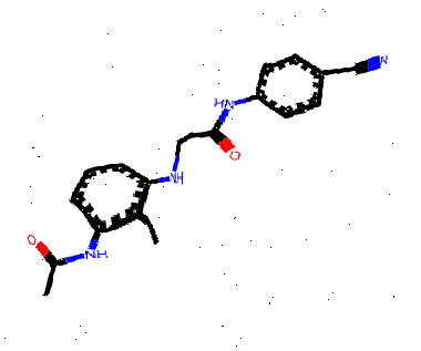 CC(=O)Nc1cccc(NCC(=O)Nc2ccc(C#N)cc2)c1C